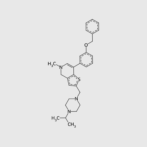 CC(C)N1CCN(Cc2cc3c(s2)C(c2cccc(OCc4ccccc4)c2)=CN(C)C3)CC1